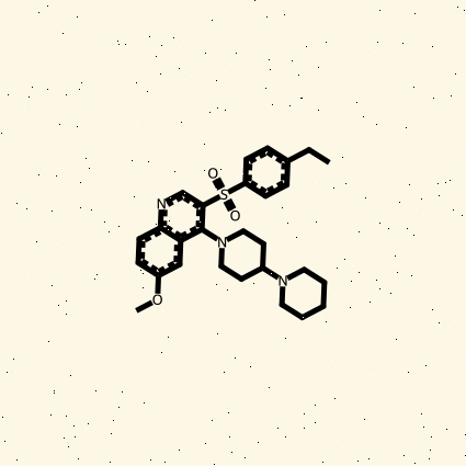 CCc1ccc(S(=O)(=O)c2cnc3ccc(OC)cc3c2N2CCC(N3CCCCC3)CC2)cc1